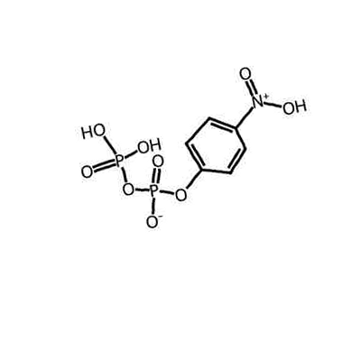 O=[N+](O)c1ccc(OP(=O)([O-])OP(=O)(O)O)cc1